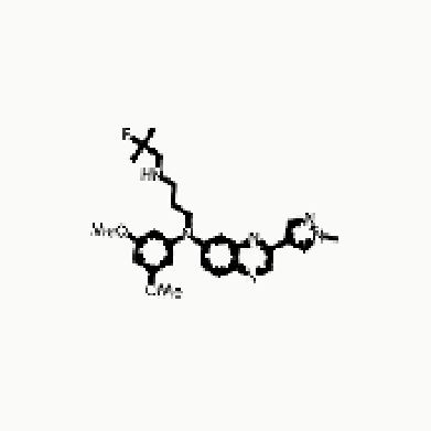 COc1cc(OC)cc(N(CCCNCC(C)(C)F)c2ccc3ncc(-c4cnn(C)c4)nc3c2)c1